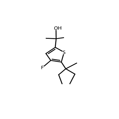 CCC(C)(CC)c1sc(C(C)(C)O)cc1F